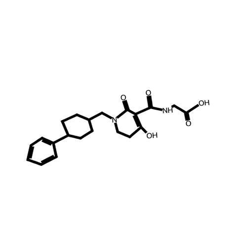 O=C(O)CNC(=O)C1=C(O)CCN(CC2CCC(c3ccccc3)CC2)C1=O